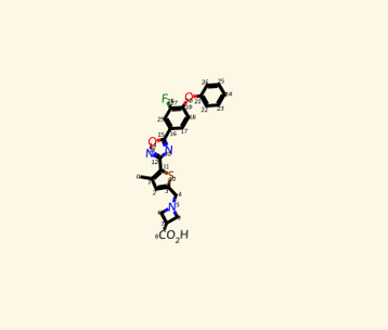 Cc1cc(CN2CC(C(=O)O)C2)sc1-c1noc(-c2ccc(Oc3ccccc3)c(F)c2)n1